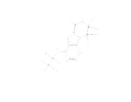 [2H]C1([2H])NC(=O)c2cc3c(OC([2H])([2H])C(F)(F)F)nccc3n2C1([2H])[2H]